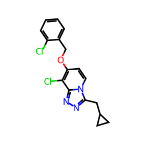 Clc1ccccc1COc1ccn2c(CC3CC3)nnc2c1Cl